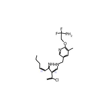 C=C(Cl)/C(=C/NCc1cnc(OCC(F)(F)P)c(C)c1)C(=N)/C=C\CCC